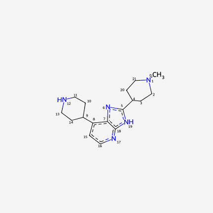 CN1CCC(c2nc3c(C4CCNCC4)ccnc3[nH]2)CC1